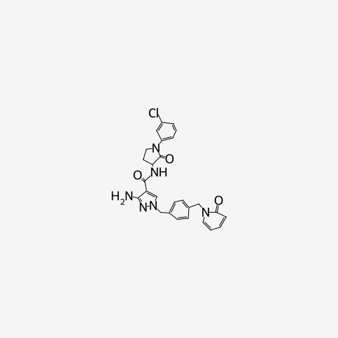 Nc1nn(Cc2ccc(Cn3ccccc3=O)cc2)cc1C(=O)N[C@@H]1CCN(c2cccc(Cl)c2)C1=O